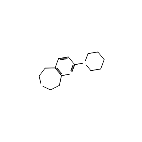 c1cc2c(nc1N1CCCCC1)CCNCC2